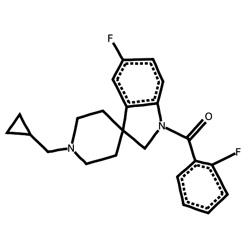 O=C(c1ccccc1F)N1CC2(CCN(CC3CC3)CC2)c2cc(F)ccc21